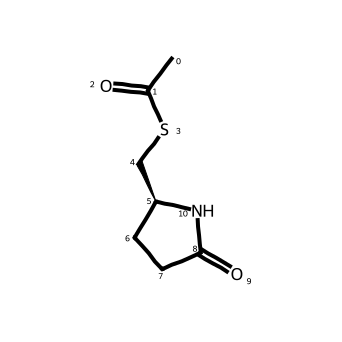 CC(=O)SC[C@@H]1CCC(=O)N1